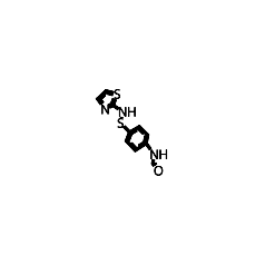 O=CNc1ccc(SNc2nccs2)cc1